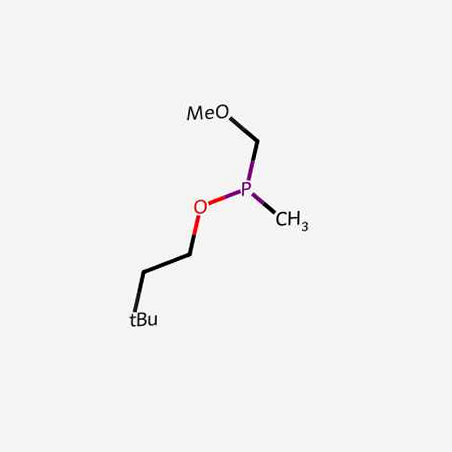 COCP(C)OCCC(C)(C)C